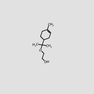 CC1=CCC(C(C)(C)OCCO)CC1